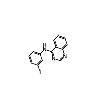 Ic1cccc(Nc2ncnc3cc[c]cc23)c1